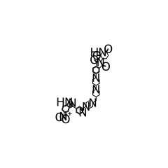 O=C1CCC(N2C(=O)c3ccc(N4CCC(N5CCC(CN6CCN(c7cc(-c8n[nH]c9ccc([N+](=O)[O-])cc89)ccn7)CC6)CC5)CC4)cc3C2=O)C(=O)N1